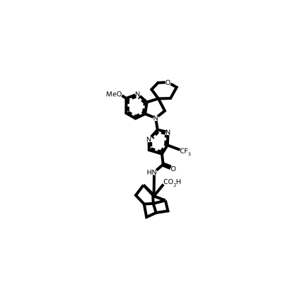 COc1ccc2c(n1)C1(CCOCC1)CN2c1ncc(C(=O)NC2(C(=O)O)C3CC4CC5CC2C45C3)c(C(F)(F)F)n1